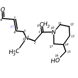 C=C(CN(C)C/C=C/C=O)N1CCCC(CO)C1